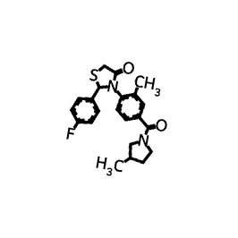 Cc1cc(C(=O)N2CCC(C)C2)ccc1N1C(=O)CSC1c1ccc(F)cc1